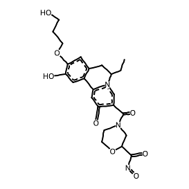 CCC1Cc2cc(OCCCO)c(O)cc2-c2cc(=O)c(C(=O)N3CCOC(C(=O)N=O)C3)cn21